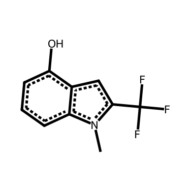 Cn1c(C(F)(F)F)cc2c(O)cccc21